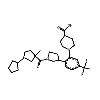 CC1(C(=O)N2CCC(c3ccc(C(F)(F)F)cc3N3CCC(C(=O)O)CC3)C2)CCN(C2CCCC2)C1